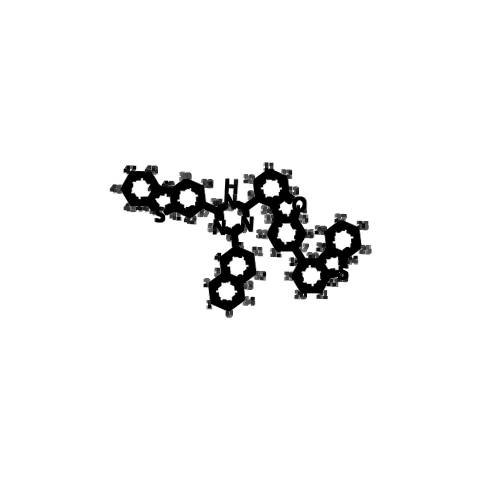 c1ccc2cc(C3=NC(c4cccc5oc6cc(-c7cccc8sc9ccccc9c78)ccc6c45)NC(c4ccc5c(c4)sc4ccccc45)=N3)ccc2c1